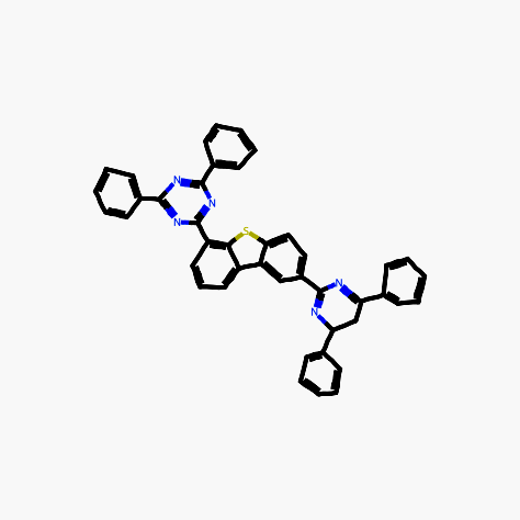 c1ccc(C2=NC(c3ccc4sc5c(-c6nc(-c7ccccc7)nc(-c7ccccc7)n6)cccc5c4c3)=NC(c3ccccc3)C2)cc1